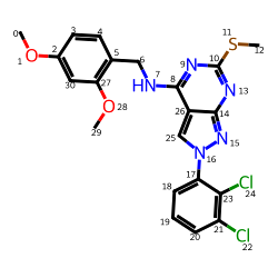 COc1ccc(CNc2nc(SC)nc3nn(-c4cccc(Cl)c4Cl)cc23)c(OC)c1